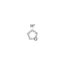 [H+].c1ccoc1